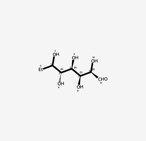 CCC(O)[C@@H](O)[C@@H](O)[C@H](O)[C@@H](O)C=O